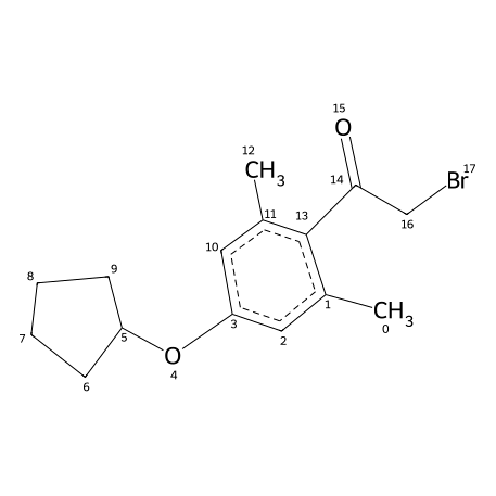 Cc1cc(OC2CCCC2)cc(C)c1C(=O)CBr